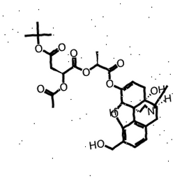 CC(=O)O[C@@H](CC(=O)OC(C)(C)C)C(=O)O[C@@H](C)C(=O)OC1=CC[C@@]2(O)[C@H]3Cc4ccc(CO)c5c4[C@@]2(CCN3C)[C@H]1O5